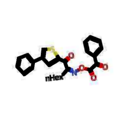 CCCCCCC(=NOC(=O)C(=O)c1ccccc1)C(=O)c1cc(-c2ccccc2)cs1